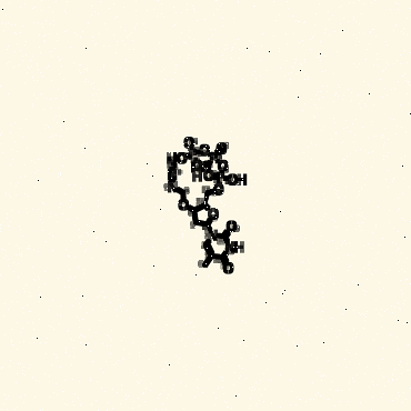 Cc1cn([C@H]2CC(OCN=[N+]=[N-])[C@@H](COP(=O)(O)OP(=O)(O)OP(=O)(O)O)O2)c(=O)[nH]c1=O